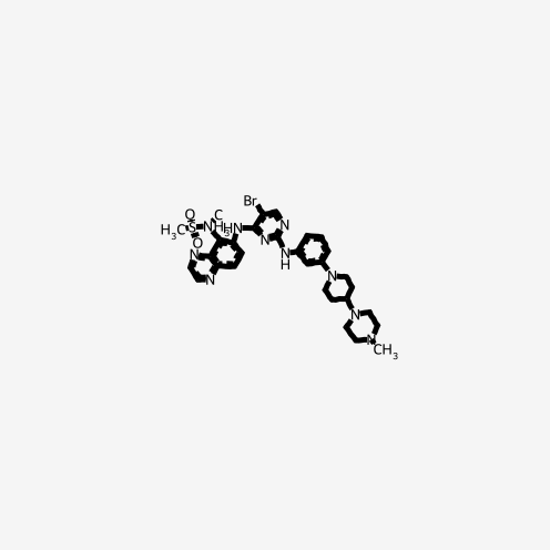 CN1CCN(C2CCN(c3cccc(Nc4ncc(Br)c(Nc5ccc6nccnc6c5N(C)S(C)(=O)=O)n4)c3)CC2)CC1